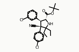 CCC1(CC)N[C@@H](C(=O)OC(C)(C)C)[C@H](c2cccc(Cl)c2)[C@@]1(C#N)c1ccc(Cl)cc1